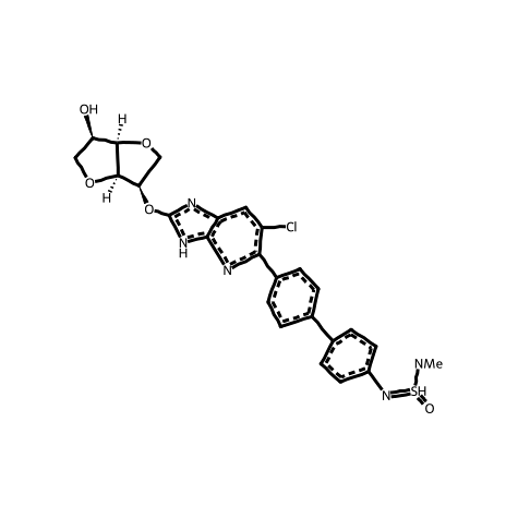 CN/[SH](=O)=N\c1ccc(-c2ccc(-c3nc4[nH]c(O[C@@H]5CO[C@H]6[C@@H]5OC[C@H]6O)nc4cc3Cl)cc2)cc1